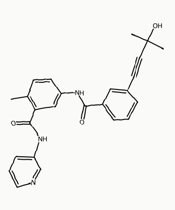 Cc1ccc(NC(=O)c2cccc(C#CC(C)(C)O)c2)cc1C(=O)Nc1cccnc1